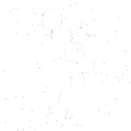 Cn1c(=O)n(C2CCC(=O)NC2=O)c2ccc3c(c21)COC3(C)COCc1ccccc1